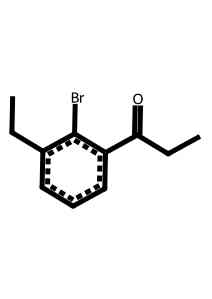 CCC(=O)c1cccc(CC)c1Br